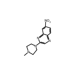 CN1CCN(c2cnc3ccc([N+](=O)[O-])cc3n2)CC1